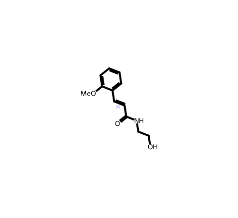 COc1ccccc1/C=C/C(=O)NCCO